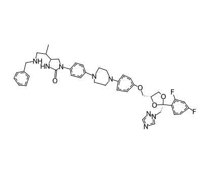 CC(CNCc1ccccc1)C1CN(c2ccc(N3CCN(c4ccc(OC[C@@H]5CO[C@@](Cn6cncn6)(c6ccc(F)cc6F)O5)cc4)CC3)cc2)C(=O)N1